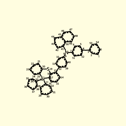 c1ccc(-c2ccc(N(c3ccc(-c4cccc5c4Sc4ccccc4[Si]5(c4ccccc4)c4ccccc4)cc3)c3cccc4ccccc34)cc2)cc1